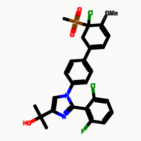 COC1=CC=C(c2ccc(-n3cc(C(C)(C)O)nc3-c3c(F)cccc3Cl)cc2)CC1(Cl)S(C)(=O)=O